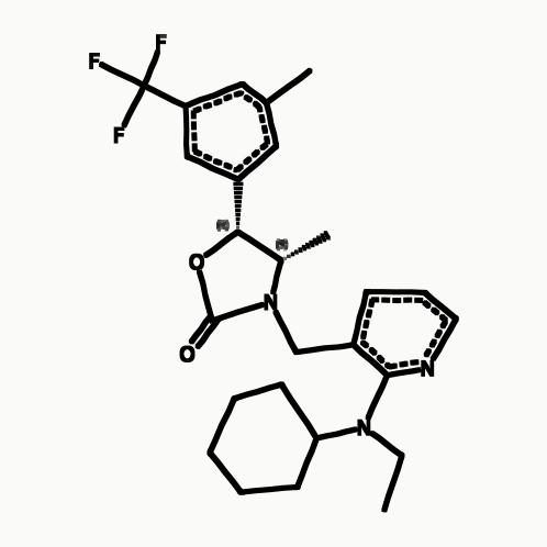 CCN(c1ncccc1CN1C(=O)O[C@H](c2cc(C)cc(C(F)(F)F)c2)[C@@H]1C)C1CCCCC1